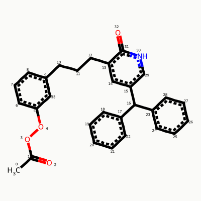 CC(=O)OOc1cccc(CCCc2cc(C(c3ccccc3)c3ccccc3)c[nH]c2=O)c1